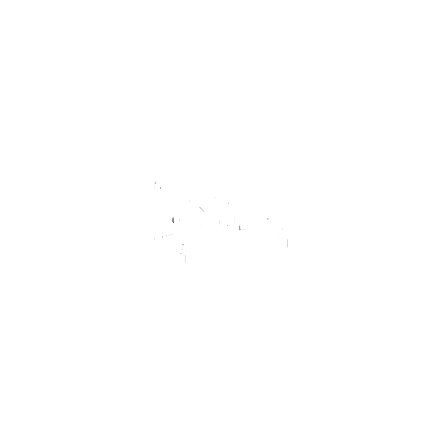 C=C(C(=O)OCCN1CCCCCC1)C(C)C(C)(C)C(=O)C(C)(C)OCCC(C)(C)OC